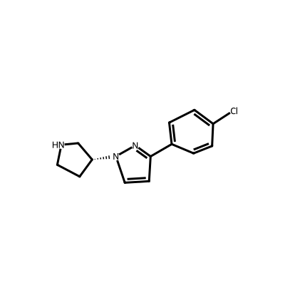 Clc1ccc(-c2ccn([C@@H]3CCNC3)n2)cc1